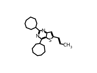 CC=Cc1cc2nc(C3CCCCCCC3)nc(C3CCCCCCC3)c2s1